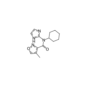 Cc1conc1C(=O)N(c1ncc[nH]1)C1CCCCC1